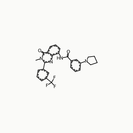 Cn1c(-c2cccc(C(F)(F)F)c2)nc2c(NC(=O)c3cccc(N4CCCC4)c3)cccc2c1=O